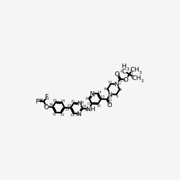 CC(C)(C)OC(=O)N1CCN(C(=O)c2cncc(Nc3ncc(-c4ccc(OC(F)F)cc4)cn3)c2)CC1